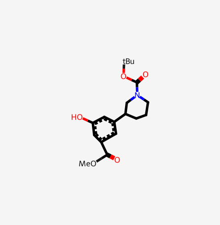 COC(=O)c1cc(O)cc(C2CCCN(C(=O)OC(C)(C)C)C2)c1